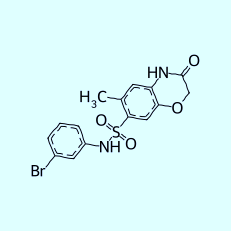 Cc1cc2c(cc1S(=O)(=O)Nc1cccc(Br)c1)OCC(=O)N2